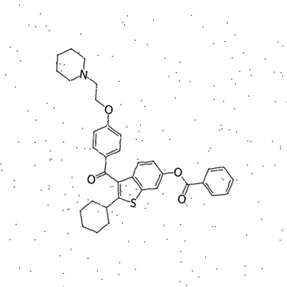 O=C(Oc1ccc2c(C(=O)c3ccc(OCCN4CCCCC4)cc3)c(C3CCCCC3)sc2c1)c1ccccc1